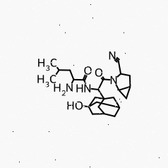 CC(C)CC(N)C(=O)NC(C(=O)N1C(C#N)CC2CC21)C12CC3CC(CC(O)(C3)C1)C2